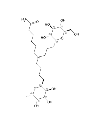 C[C@@H]1O[C@@H](CCCCN(CCCCCC(N)=O)CCC[C@H]2O[C@H](CO)[C@@H](O)[C@H](O)[C@H]2O)[C@@H](O)[C@H](O)[C@@H]1O